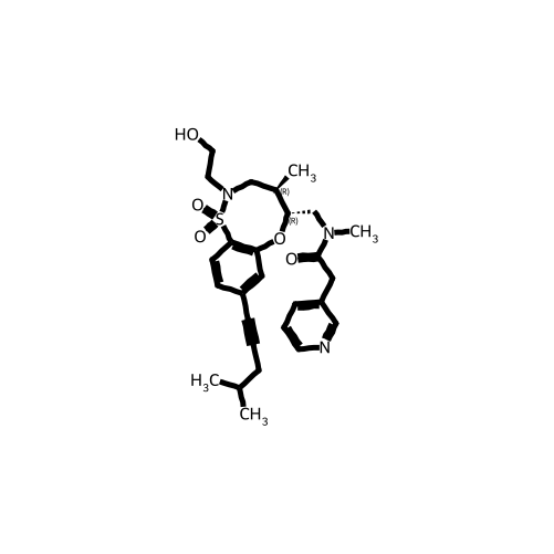 CC(C)CC#Cc1ccc2c(c1)O[C@@H](CN(C)C(=O)Cc1cccnc1)[C@H](C)CN(CCO)S2(=O)=O